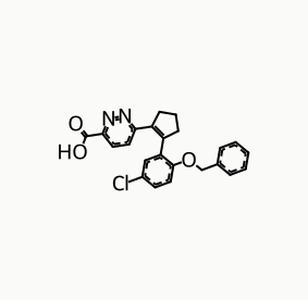 O=C(O)c1ccc(C2=C(c3cc(Cl)ccc3OCc3ccccc3)CCC2)nn1